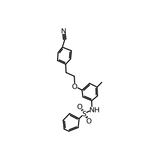 Cc1cc(NS(=O)(=O)c2ccccc2)cc(OCCc2ccc(C#N)cc2)c1